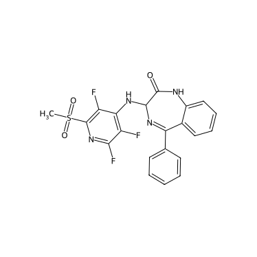 CS(=O)(=O)c1nc(F)c(F)c(NC2N=C(c3ccccc3)c3ccccc3NC2=O)c1F